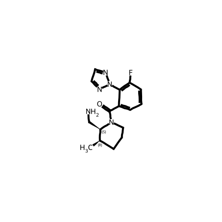 C[C@@H]1CCCN(C(=O)c2cccc(F)c2-n2nccn2)[C@@H]1CN